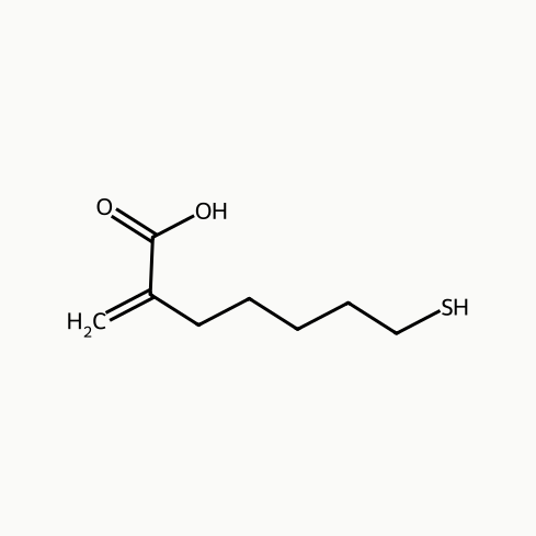 C=C(CCCCCS)C(=O)O